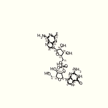 Nc1nc2c(ncn2[C@@H]2O[C@H](CO)[C@@H](O)[C@H]2OP(=O)(O)OC[C@H]2O[C@@H](n3cnc4c(N)nc(F)nc43)[C@H](O)[C@@H]2O)c(=O)[nH]1